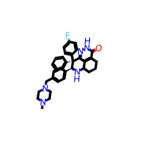 CN1CCN(Cc2ccc([C@@H]3NC4CCCc5c4c(n[nH]c5=O)[C@]3(c3ccccc3)c3ccc(F)cc3)cc2)CC1